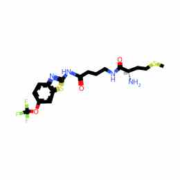 CSCC[C@H](N)C(=O)NCCCC(=O)Nc1nc2ccc(OC(F)(F)F)cc2s1